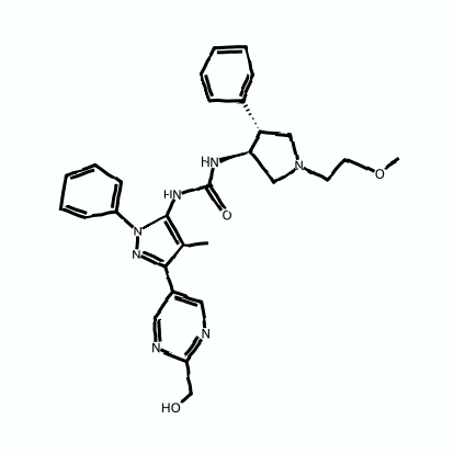 COCCN1C[C@@H](NC(=O)Nc2c(C)c(-c3cnc(CO)nc3)nn2-c2ccccc2)[C@H](c2ccccc2)C1